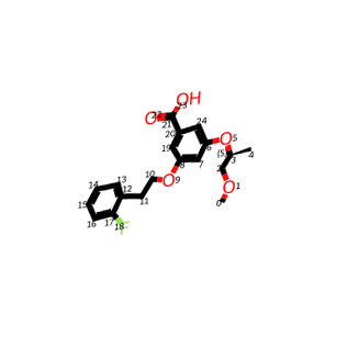 COC[C@H](C)Oc1cc(OCCc2ccccc2F)cc(C(=O)O)c1